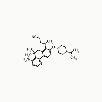 CN(CCC#N)c1c(O[C@H]2CC[C@H](N(C)C)CC2)ccc2c1CC(C)(C)c1c(N)ncnc1-2